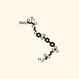 C=CC(=O)OCCCCOC(=O)Oc1ccc(-c2ccc(C(=O)Oc3ccc(OCCCOC(=O)C(=C)CC(=O)OC)cc3)cc2)cc1